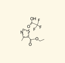 CCOC(=O)c1scnc1C.O=C(O)C(F)(F)F